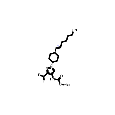 CC(C)(C)OC(=O)Nc1cn([C@H]2CC[C@H](/C=C/CCCCC#N)CC2)nc1C(F)F